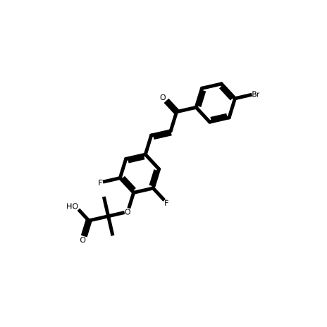 CC(C)(Oc1c(F)cc(/C=C/C(=O)c2ccc(Br)cc2)cc1F)C(=O)O